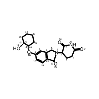 O=C1CCC(N2Cc3cc(O[C@@H]4CCCC[C@@H]4O)ccc3C2=O)C(=O)N1